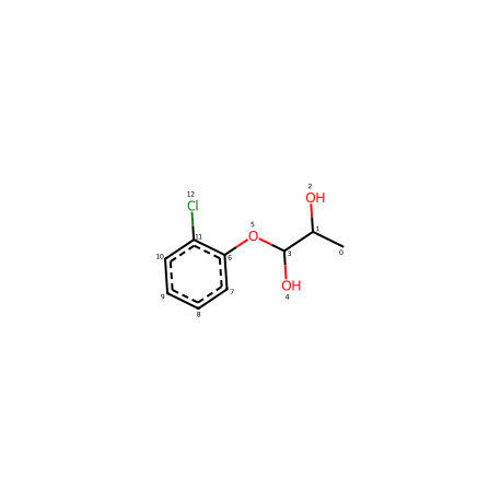 CC(O)C(O)Oc1ccccc1Cl